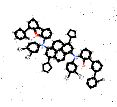 CCc1ccccc1-c1cccc(-c2cccc(N(c3ccc(C)c(C)c3)c3cc(C4CCCC4)c4ccc5c(N(c6ccc(C)c(C)c6)c6cccc7c6oc6c(-c8ccccc8CC)cccc67)cc(C6CCCC6)c6ccc3c4c65)c2O)c1